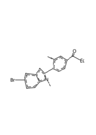 CCC(=O)c1ccc(-c2cc3cc(Br)ccc3n2C)c(C)c1